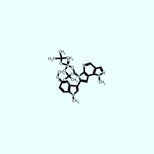 COc1ccc2c(c1)c(-c1cc3c4c(cnc3n1COP(=O)(OC(C)(C)C)OC(C)(C)C)cnn4C)cn2C